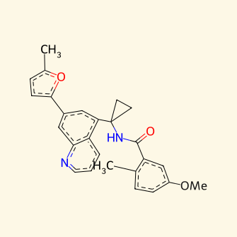 COc1ccc(C)c(C(=O)NC2(c3cc(-c4ccc(C)o4)cc4ncccc34)CC2)c1